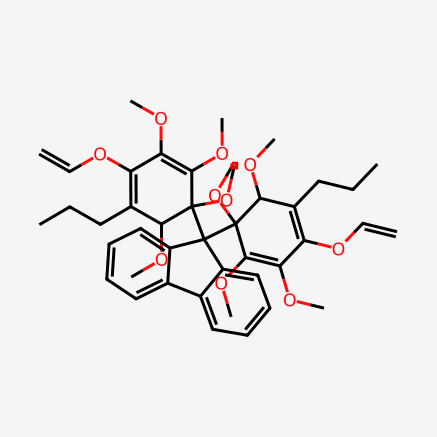 C=COC1=C(CCC)C(OC)C(OC)(C2(C3(OC)C(OC)=C(OC)C(OC=C)=C(CCC)C3OC)c3ccccc3-c3ccccc32)C(OC)=C1OC